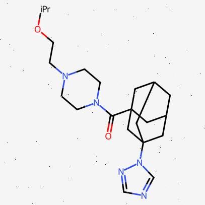 CC(C)OCCN1CCN(C(=O)C23CC4CC(C2)CC(n2cncn2)(C4)C3)CC1